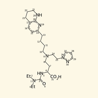 CCN(CC)C(=O)NC(CCN(CCCCc1ccc2c(n1)NCCC2)CCn1cccn1)C(=O)O